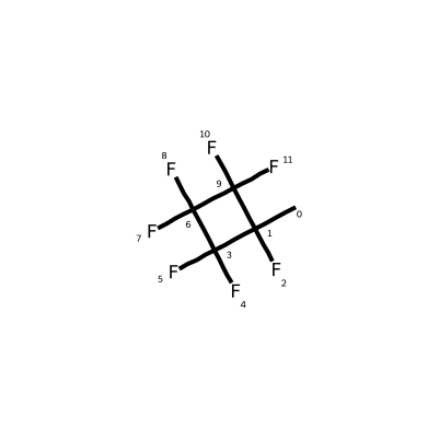 CC1(F)C(F)(F)C(F)(F)C1(F)F